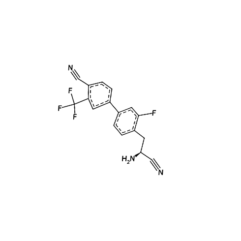 N#Cc1ccc(-c2ccc(C[C@H](N)C#N)c(F)c2)cc1C(F)(F)F